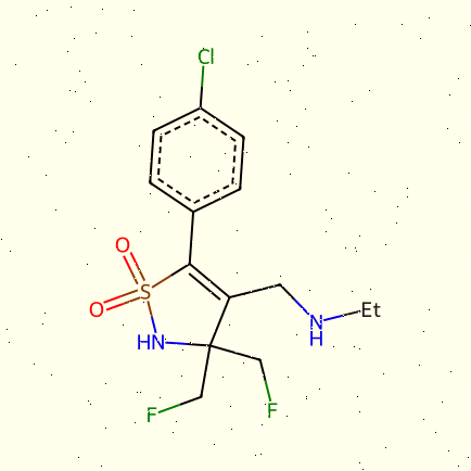 CCNCC1=C(c2ccc(Cl)cc2)S(=O)(=O)NC1(CF)CF